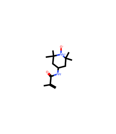 C=C(C)C(=O)NC1CC(C)(C)[NH+]([O-])C(C)(C)C1